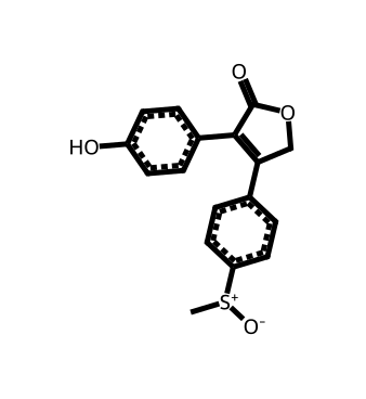 C[S+]([O-])c1ccc(C2=C(c3ccc(O)cc3)C(=O)OC2)cc1